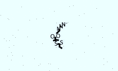 CCC(=S)SC(C)(C)C(=O)OCCN=[N+]=[N-]